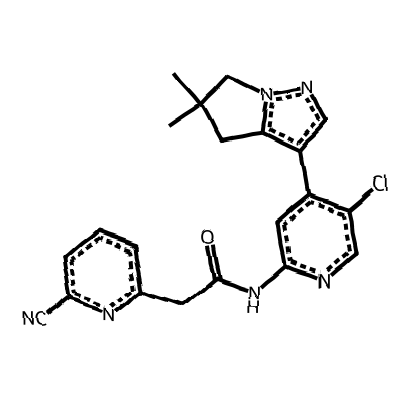 CC1(C)Cc2c(-c3cc(NC(=O)Cc4cccc(C#N)n4)ncc3Cl)cnn2C1